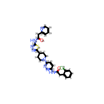 O=C(Cc1ccccc1Cl)Nc1ccc(N2CCC(c3nnc(NC(=O)Cc4ccccn4)s3)CC2)nn1